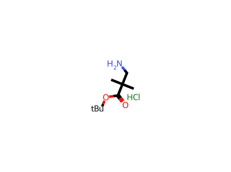 CC(C)(C)OC(=O)C(C)(C)CN.Cl